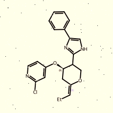 CC/C=C1\C[C@@H](Oc2ccnc(Cl)c2)C(c2nc(-c3ccccc3)c[nH]2)CO1